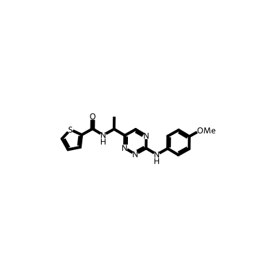 COc1ccc(Nc2ncc(C(C)NC(=O)c3cccs3)nn2)cc1